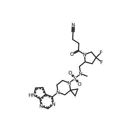 CN(CC1CC(F)(F)CN1C(=O)CCC#N)S(=O)(=O)N1CCN(c2ncnc3[nH]ccc23)CC12CC2